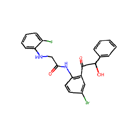 O=C(CNc1ccccc1F)Nc1ccc(Br)cc1C(=O)C(O)c1ccccc1